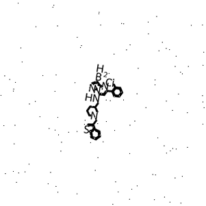 Bc1cnn2c(NCC3CCCN(Cc4csc5ccccc45)C3)cc(-c3ccccc3Cl)nc12